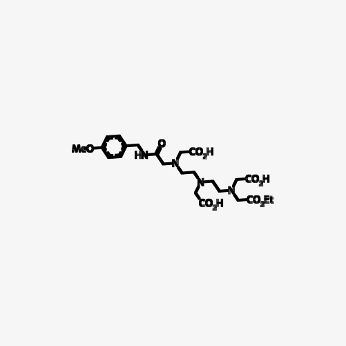 CCOC(=O)CN(CCN(CCN(CC(=O)O)CC(=O)NCc1ccc(OC)cc1)CC(=O)O)CC(=O)O